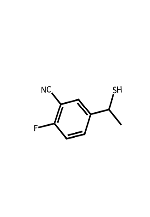 CC(S)c1ccc(F)c(C#N)c1